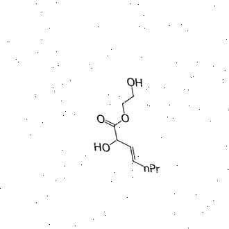 CCCC=CC(O)C(=O)OCCO